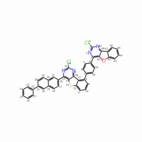 Clc1nc(-c2ccc(-c3cccc4sc5c(-c6ccc7cc(-c8ccccc8)ccc7c6)nc(Cl)nc5c34)cc2)c2oc3ccccc3c2n1